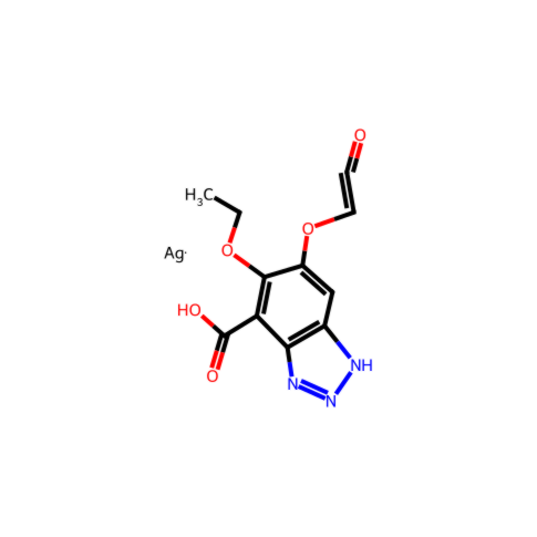 CCOc1c(OC=C=O)cc2[nH]nnc2c1C(=O)O.[Ag]